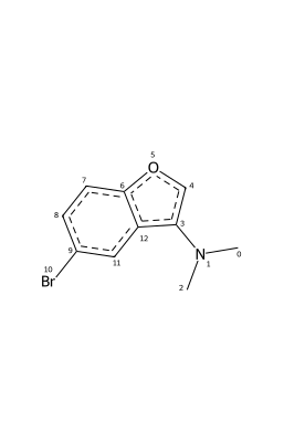 CN(C)c1coc2ccc(Br)cc12